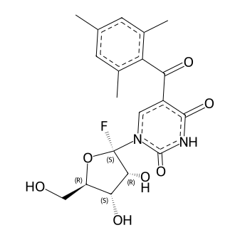 Cc1cc(C)c(C(=O)c2cn([C@]3(F)O[C@H](CO)[C@@H](O)[C@H]3O)c(=O)[nH]c2=O)c(C)c1